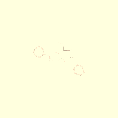 COC1C(C)C(Sc2ccccc2)OC(C)C1OC(=O)c1ccccc1